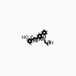 CCOC(C)CCNC(=O)c1cc(C(=O)CC(CC)(C(=O)O)c2ccccc2)ccc1-c1ccccc1